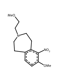 COCCN1CCc2ccc(OC)c([N+](=O)[O-])c2CC1